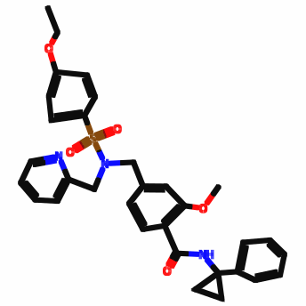 CCOc1ccc(S(=O)(=O)N(Cc2ccc(C(=O)NC3(c4ccccc4)CC3)c(OC)c2)Cc2ccccn2)cc1